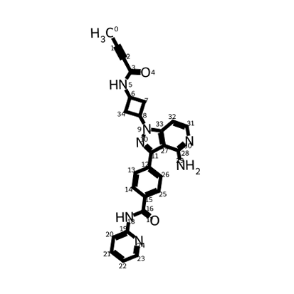 CC#CC(=O)NC1CC(n2nc(-c3ccc(C(=O)Nc4ccccn4)cc3)c3c(N)nccc32)C1